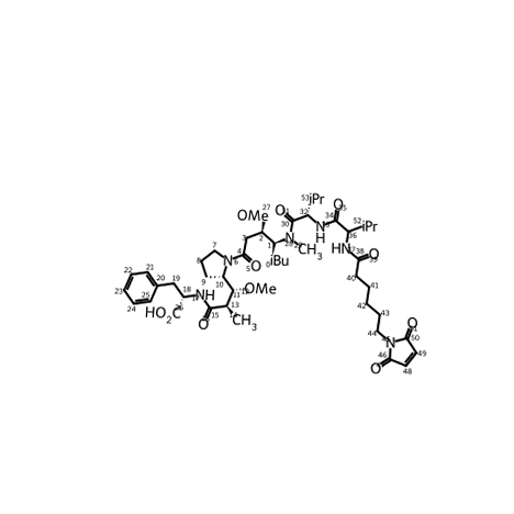 CC[C@H](C)[C@@H]([C@@H](CC(=O)N1CCC[C@H]1[C@H](OC)[C@@H](C)C(=O)N[C@@H](Cc1ccccc1)C(=O)O)OC)N(C)C(=O)[C@@H](NC(=O)C(NC(=O)CCCCCN1C(=O)C=CC1=O)C(C)C)C(C)C